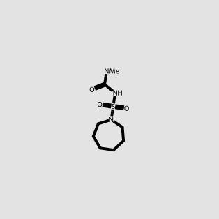 CNC(=O)NS(=O)(=O)N1CCCCCC1